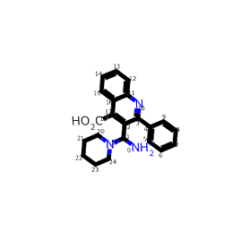 NC(c1c(-c2ccccc2)nc2ccccc2c1C(=O)O)N1CCCCC1